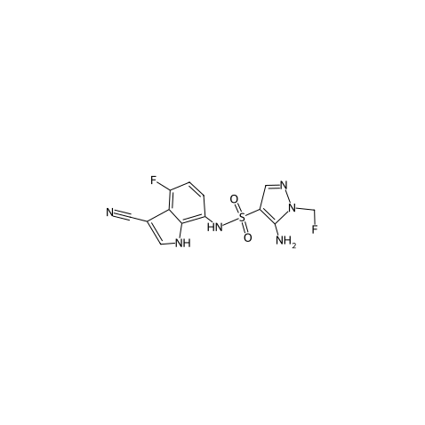 N#Cc1c[nH]c2c(NS(=O)(=O)c3cnn(CF)c3N)ccc(F)c12